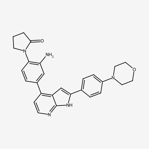 Nc1cc(-c2ccnc3[nH]c(-c4ccc(N5CCOCC5)cc4)cc23)ccc1N1CCCC1=O